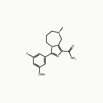 COc1cc(F)cc(-c2nc(C(N)=O)c3n2CCCN(C)C3)c1